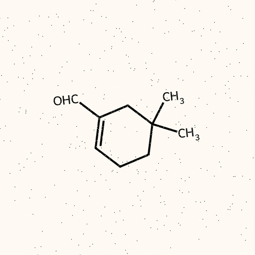 CC1(C)CCC=C(C=O)C1